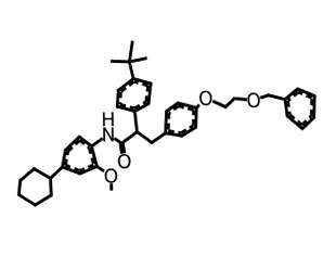 COc1cc(C2CCCCC2)ccc1NC(=O)C(Cc1ccc(OCCOCc2ccccc2)cc1)c1ccc(C(C)(C)C)cc1